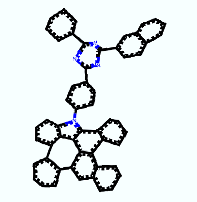 c1ccc(-c2nc(-c3ccc(-n4c5cccc6c5c5c7c(cc8ccccc8c7c7ccccc7c54)-c4ccccc4-6)cc3)nc(-c3ccc4ccccc4c3)n2)cc1